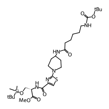 COC(=O)[C@H](CO[Si](C)(C)C(C)(C)C)NC(=O)c1csc(N2CCC(NC(=O)CCCCCNC(=O)OC(C)(C)C)CC2)n1